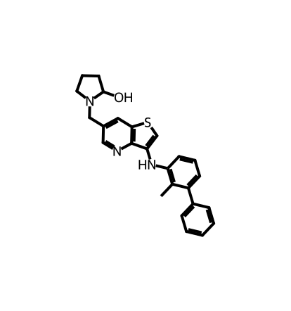 Cc1c(Nc2csc3cc(CN4CCCC4O)cnc23)cccc1-c1ccccc1